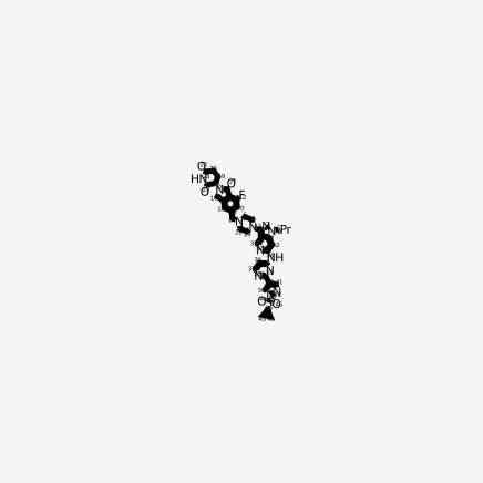 CC(C)n1nc(N2CCN(Cc3cc(F)c4c(c3)CN(C3CCC(=O)NC3=O)C4=O)CC2)c2cnc(Nc3ccnc(-c4cnn(S(=O)(=O)C5CC5)c4)n3)cc21